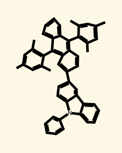 Cc1cc(C)c(-c2c3ccccc3c(-c3c(C)cc(C)cc3C)c3cc(-c4ccc5c(c4)c4ccccc4n5-c4ccccc4)ccc23)c(C)c1